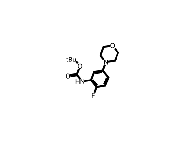 CC(C)(C)OC(=O)Nc1cc(N2CCOCC2)ccc1F